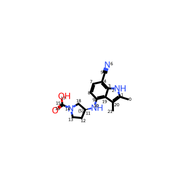 Cc1[nH]c2c(C#N)ccc(N[C@H]3CCN(C(=O)O)C3)c2c1C